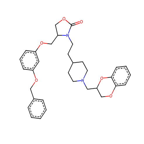 O=C1OCC(COc2cccc(OCc3ccccc3)c2)N1CCC1CCN(CC2COc3ccccc3O2)CC1